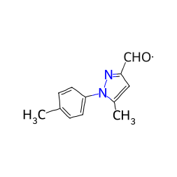 Cc1ccc(-n2nc([C]=O)cc2C)cc1